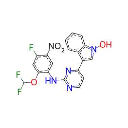 O=[N+]([O-])c1cc(Nc2nccc(-c3cn(O)c4ccccc34)n2)c(OC(F)F)cc1F